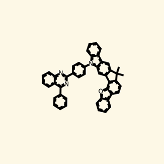 CC1(C)c2cc3c4ccccc4n(-c4ccc(-c5nc(-c6ccccc6)c6ccccc6n5)cc4)c3cc2-c2c1ccc1c2oc2ccccc21